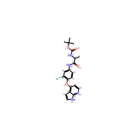 CC(NC(=O)OC(C)(C)C)C(=O)Nc1ccc(Oc2ccnc3[nH]ccc23)c(F)c1